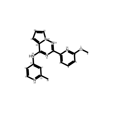 COc1cccc(-c2nc(Nc3ccnc(C)c3)c3cccn3n2)n1